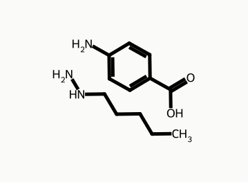 CCCCCNN.Nc1ccc(C(=O)O)cc1